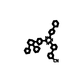 N#Cc1cccc(-c2cccc(-c3nc(-c4ccc(-c5ccccc5)cc4)nc(-c4ccc(-c5cccc(-c6ccccc6)c5-c5ccccc5)cc4)n3)c2)c1